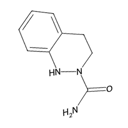 NC(=O)N1CCc2ccccc2N1